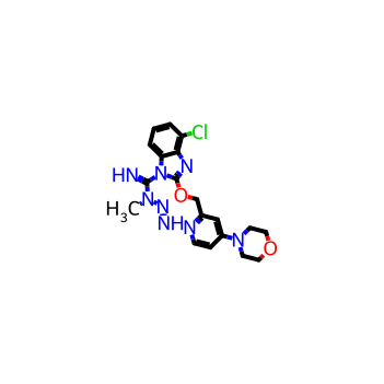 CN(N=N)C(=N)n1c(OCc2cc(N3CCOCC3)ccn2)nc2c(Cl)cccc21